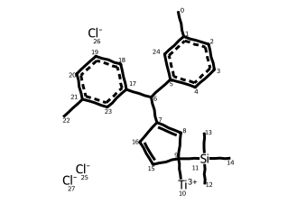 Cc1cccc(C(C2=C[C]([Ti+3])([Si](C)(C)C)C=C2)c2cccc(C)c2)c1.[Cl-].[Cl-].[Cl-]